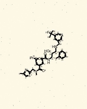 Cc1csc(CN(C)C(=O)c2cc(C(=O)N[C@@H](Cc3ccccc3)[C@H](O)CNCc3cncc(C(C)(C)F)c3)cc(C(C)C)c2)n1